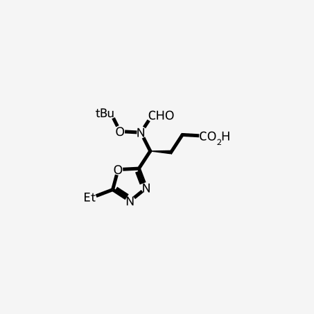 CCc1nnc([C@H](CCC(=O)O)N(C=O)OC(C)(C)C)o1